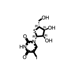 O=c1[nH]c(=O)n([C@@H]2S[C@H](CO)[C@@H](O)[C@H]2O)cc1I